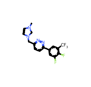 CN1C=CN(Cc2ccc(-c3cc(F)c(F)c(C(F)(F)F)c3)nn2)C1